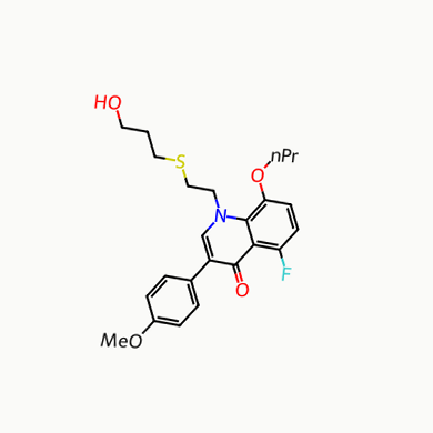 CCCOc1ccc(F)c2c(=O)c(-c3ccc(OC)cc3)cn(CCSCCCO)c12